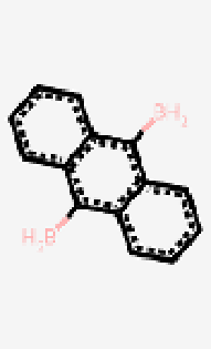 Bc1c2ccccc2c(B)c2ccccc12